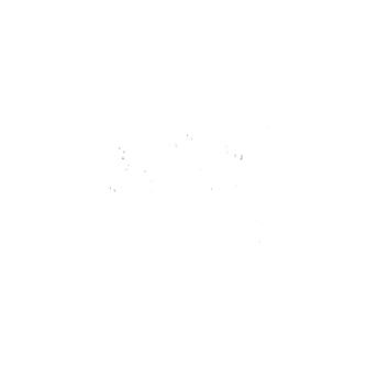 COc1nc(OCC(F)F)c(F)cc1NS(=O)(=O)c1cnc2nc(C3CC3)ccn12